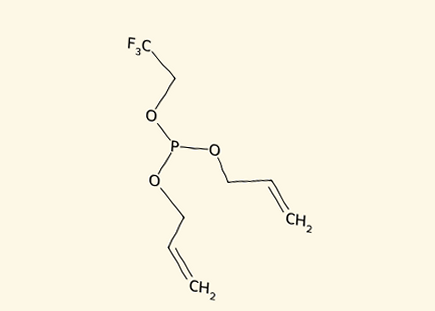 C=CCOP(OCC=C)OCC(F)(F)F